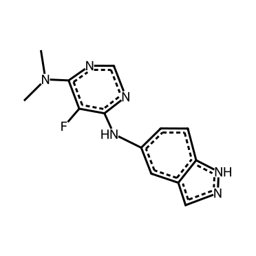 CN(C)c1ncnc(Nc2ccc3[nH]ncc3c2)c1F